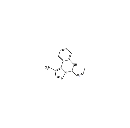 C/C=C\C1Nc2ccccc2-c2c([N+](=O)[O-])cnn21